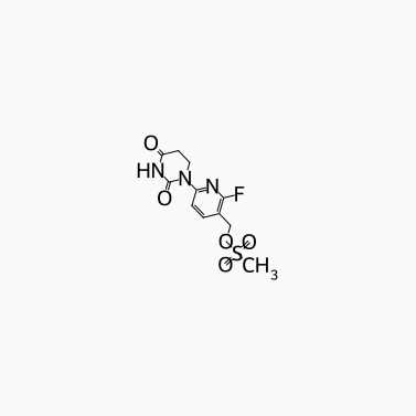 CS(=O)(=O)OCc1ccc(N2CCC(=O)NC2=O)nc1F